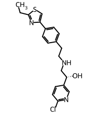 CCc1nc(-c2ccc(CCNC[C@H](O)c3ccc(Cl)nc3)cc2)cs1